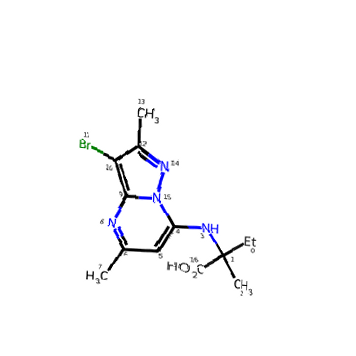 CCC(C)(Nc1cc(C)nc2c(Br)c(C)nn12)C(=O)O